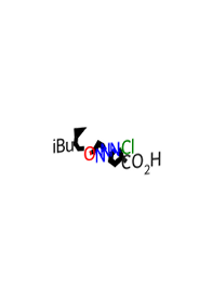 CCC(C)C(CCOc1ccn(-c2ccc(C(=O)O)c(Cl)n2)n1)C1CC1